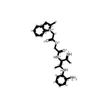 CC(=N)/C(NC(=O)COC(=O)Cn1c(C)cc2ccccc21)=C(/C)Nc1ccccc1N